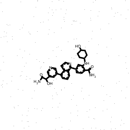 NC(=O)c1ccc(-c2nccc3c(-c4cncc(C(O)C(N)=O)c4)cccc23)cc1NC1CCC(O)CC1